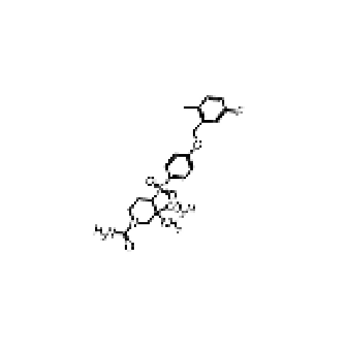 Cc1ccc(F)cc1COc1ccc(S(=O)(=O)C2CCN(C(N)=O)CC2(N)C(=O)O)cc1